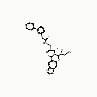 CC(C)C[C@H](N)C(=O)N(C(=O)c1ccc2ncsc2c1)[C@@H](C)C(=O)CNC(=O)Cc1cccc(-c2ccccn2)c1